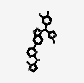 Cc1ccc(C(c2cnn(C)c2)n2nnc3cc(-c4ccnc(Nc5ccnn5C)n4)ccc32)cc1F